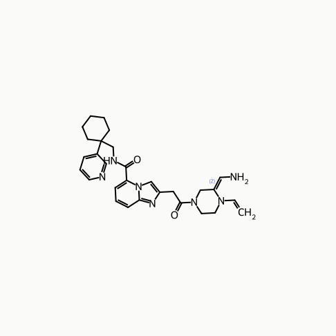 C=CN1CCN(C(=O)Cc2cn3c(C(=O)NCC4(c5cccnc5)CCCCC4)cccc3n2)C/C1=C/N